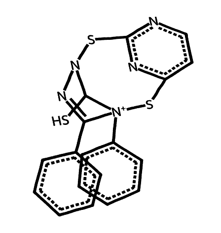 SC1N2N=C(c3ccccc3)[N+]1(c1ccccc1)Sc1ccnc(n1)S2